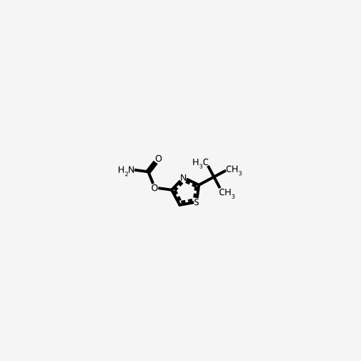 CC(C)(C)c1nc(OC(N)=O)cs1